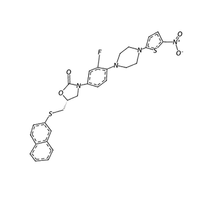 O=C1O[C@@H](CSc2ccc3ccccc3c2)CN1c1ccc(N2CCN(c3ccc([N+](=O)[O-])s3)CC2)c(F)c1